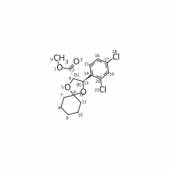 COC(=O)[C@H]1OC2(CCCCC2)O[C@@H]1c1ccc(Cl)cc1Cl